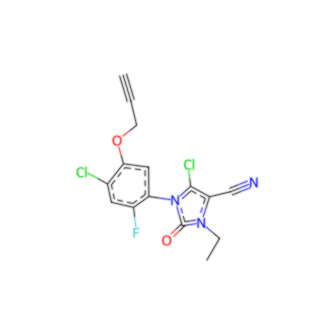 C#CCOc1cc(-n2c(Cl)c(C#N)n(CC)c2=O)c(F)cc1Cl